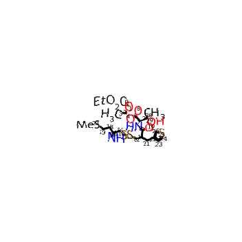 CCOC(=O)OC(C)OC(=O)C(NC(=O)C(CSSCC([NH])CCSC)Cc1ccsc1)C(C)O